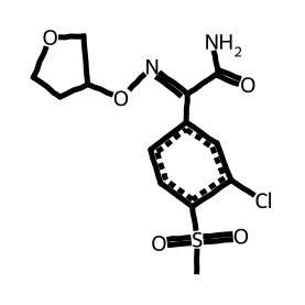 CS(=O)(=O)c1ccc(/C(=N\OC2CCOC2)C(N)=O)cc1Cl